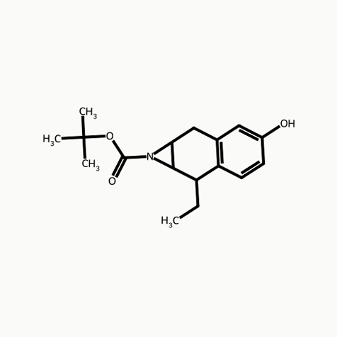 CCC1c2ccc(O)cc2CC2C1N2C(=O)OC(C)(C)C